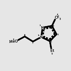 CCc1cc(C(F)(F)F)nn1CCOC